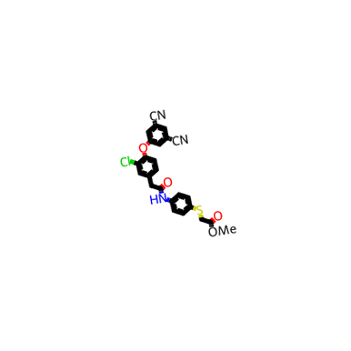 COC(=O)CSc1ccc(NC(=O)Cc2ccc(Oc3cc(C#N)cc(C#N)c3)c(Cl)c2)cc1